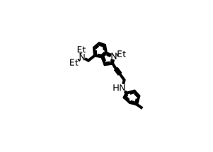 CCN(CC)Cc1cccc2c1cc(C#CCNc1ccc(C)cc1)n2CC